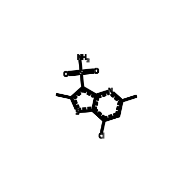 Cc1cc(Cl)c2sc(C)c(S(N)(=O)=O)c2n1